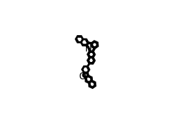 C1=CC2C=c3c(n4c5cc6cc(C7=Cc8c(oc9cc%10ccccc%10cc89)CC7)ccc6cc5c5cccc3c54)=CC2C=C1